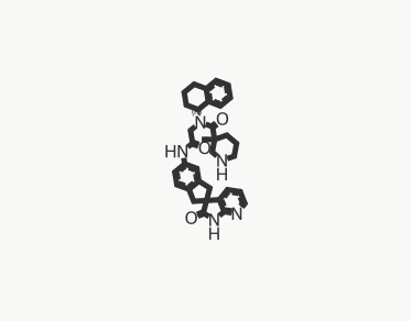 CC1(C(=O)N(CC(=O)Nc2ccc3c(c2)CC2(C3)C(=O)Nc3ncccc32)[C@@H]2CCCc3ccccc32)CCCNC1